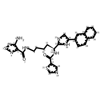 Nc1nsnc1C(=O)NCCCC[C@H](NC(=O)c1cncs1)c1ncc(-c2ccc3ccccc3c2)[nH]1